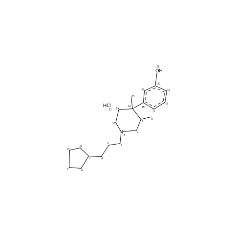 CC1CN(CCCC2CCCC2)CCC1(C)c1cccc(O)c1.Cl